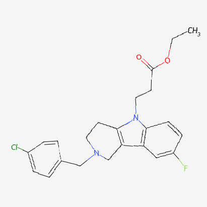 CCOC(=O)CCn1c2c(c3cc(F)ccc31)CN(Cc1ccc(Cl)cc1)CC2